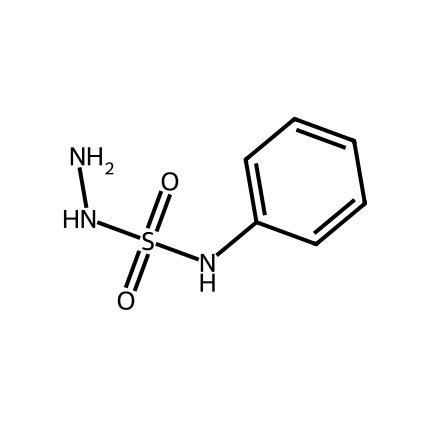 NNS(=O)(=O)Nc1ccccc1